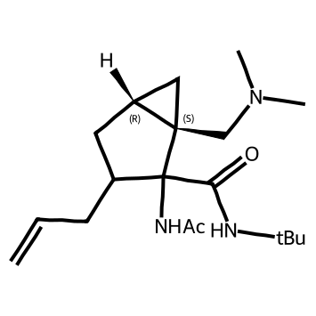 C=CCC1C[C@@H]2C[C@]2(CN(C)C)C1(NC(C)=O)C(=O)NC(C)(C)C